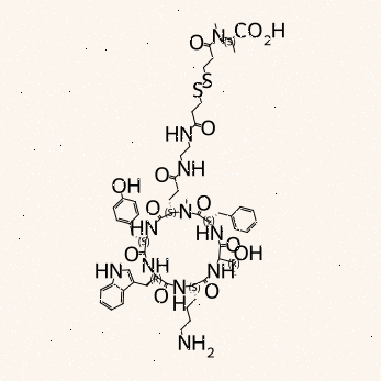 C[C@@H](O)C1NC(=O)[C@H](CCCCN)NC(=O)[C@@H](Cc2c[nH]c3ccccc23)NC(=O)[C@H](Cc2ccc(O)cc2)NC(=O)[C@H](CCC(=O)NCCNC(=O)CCSSCCC(=O)N(C)[C@@H](C)C(=O)O)N(C)C(=O)[C@H](Cc2ccccc2)NC1=O